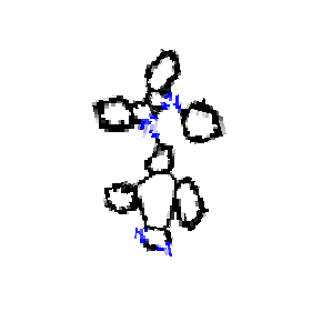 c1ccc(-n2c3ccccc3c3c4ccccc4n(-c4ccc5c(c4)-c4ccccc4-c4ncncc4-c4ccccc4-5)c32)cc1